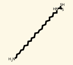 NCCCCCCCCCCCCCCCCCCCCCCCNC(=S)S